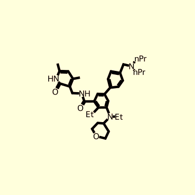 CCCN(CCC)Cc1ccc(-c2cc(C(=O)NCc3c(C)cc(C)[nH]c3=O)c(CC)c(N(CC)C3CCOCC3)c2)cc1